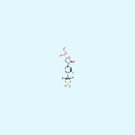 CCOC(=O)[C@H]1CN(c2ccc([C@H]3[C@@H]4CS(=O)(=O)C[C@@H]43)c(F)c2)C(=O)O1